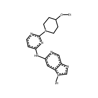 CCOC1CCN(c2nccc(Nc3cc4c(cn3)ncn4C(C)C)n2)CC1